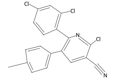 Cc1ccc(-c2cc(C#N)c(Cl)nc2-c2ccc(Cl)cc2Cl)cc1